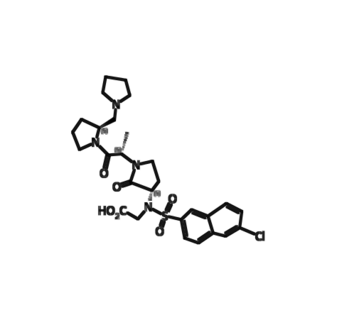 C[C@@H](C(=O)N1CCC[C@H]1CN1CCCC1)N1CC[C@H](N(CC(=O)O)S(=O)(=O)c2ccc3cc(Cl)ccc3c2)C1=O